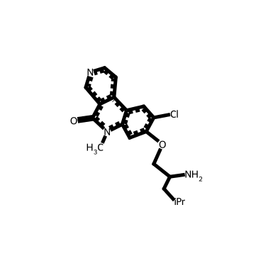 CC(C)CC(N)COc1cc2c(cc1Cl)c1ccncc1c(=O)n2C